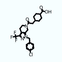 O=C(O)C1CCC(CC(=O)N2CCc3c(C(F)(F)F)nn(Cc4ccc(Cl)cc4)c3C2)CC1